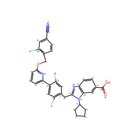 N#Cc1ccc(COc2cccc(-c3cc(F)c(Cc4nc5ccc(C(=O)O)cc5n4C4CCCC4)cc3F)n2)c(F)c1